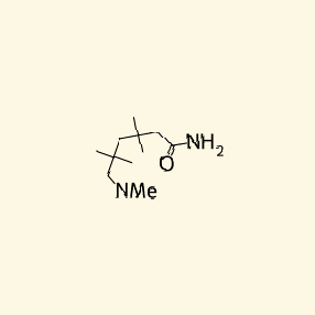 CNCC(C)(C)CC(C)(C)CC(N)=O